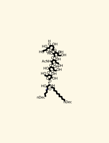 CCCCCCCCCCCCC/C=C/[C@@H](O)[C@H](CO[C@@H]1OC(CO)[C@@H](O[C@@H]2OC(CO)[C@H](O)[C@H](O[C@@H]3OC(CO)[C@@H](O)[C@H](O[C@@H]4OC(CO)[C@H](O)[C@H](O[C@]5(C(=O)O)CC(O)[C@@H](O)C([C@H](O)[C@H](O)CO)O5)C4O)C3NC(C)=O)C2O)[C@H](O)C1O)NC(=O)CCCCCCCCCCCCCCCCCCC